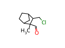 CC1(C=O)C2CCC(C2)C1CCl